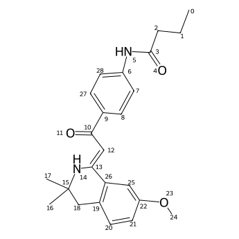 CCCC(=O)Nc1ccc(C(=O)C=C2NC(C)(C)Cc3ccc(OC)cc32)cc1